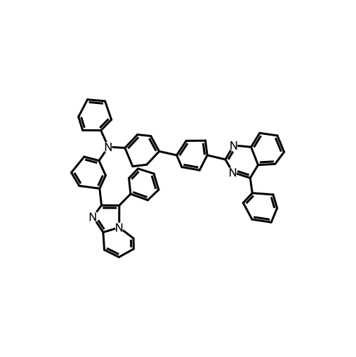 C1=C(c2ccc(-c3nc(-c4ccccc4)c4ccccc4n3)cc2)CCC(N(c2ccccc2)c2cccc(-c3nc4ccccn4c3-c3ccccc3)c2)=C1